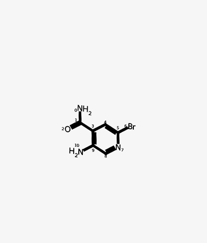 NC(=O)c1cc(Br)ncc1N